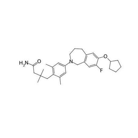 Cc1cc(N2CCCc3cc(OC4CCCC4)c(F)cc3C2)cc(C)c1CC(C)(C)CC(N)=O